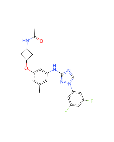 CC(=O)NC1CC(Oc2cc(C)cc(Nc3ncn(-c4cc(F)cc(F)c4)n3)c2)C1